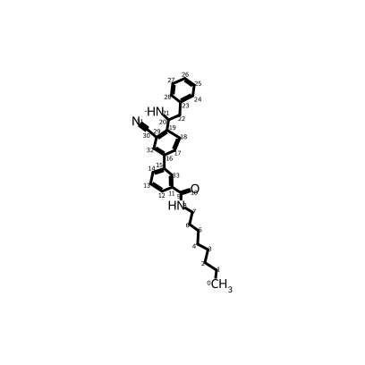 CCCCCCCCNC(=O)c1cccc(-c2ccc(C([NH])Cc3ccccc3)c(C#N)c2)c1